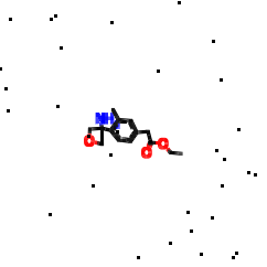 CCOC(=O)Cc1ccc(C2(N)COC2)c(C)c1